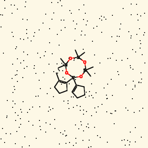 CC1=C([Si]2(C3=CCCC3)O[Si](C)(C)O[Si](C)(C)O[Si](C)(C)O2)CCC1